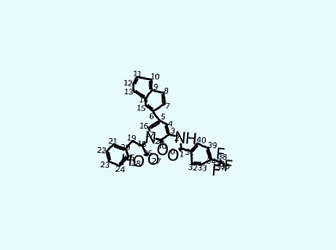 O=C(Nc1cc(-c2ccc3ccccc3c2)cn(C(Cc2ccccc2)C(=O)O)c1=O)c1ccc(C(F)(F)F)cc1